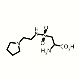 NC(CS(=O)(=O)NCCN1CCCC1)C(=O)O